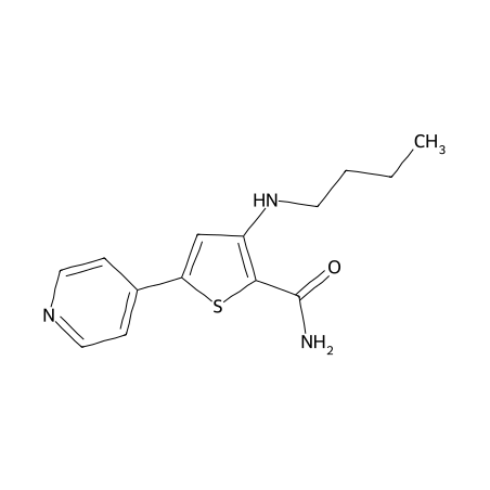 CCCCNc1cc(-c2ccncc2)sc1C(N)=O